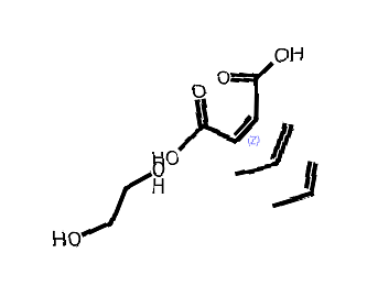 C=CC.C=CC.O=C(O)/C=C\C(=O)O.OCCO